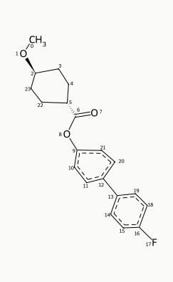 CO[C@H]1CC[C@H](C(=O)Oc2ccc(-c3ccc(F)cc3)cc2)CC1